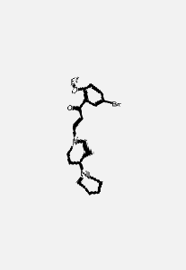 CCOc1ccc(Br)cc1C(=O)C=CN1CCC(N2CCCC2)CC1